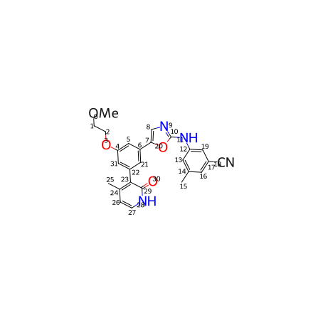 COCCOc1cc(-c2cnc(Nc3cc(C)cc(C#N)c3)o2)cc(-c2c(C)cc[nH]c2=O)c1